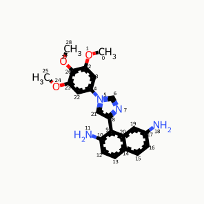 COc1cc(-n2cnc(-c3c(N)ccc4ccc(N)cc34)c2)cc(OC)c1OC